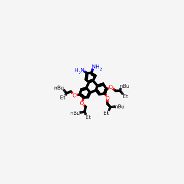 CCCCC(CC)COc1cc2c3cc(N)c(N)cc3c3cc(OCC(CC)CCCC)c(OCC(CC)CCCC)cc3c2cc1OCC(CC)CCCC